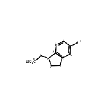 CCOC(=O)C[C@@H]1CCc2cc(I)cnc21